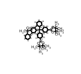 CC1(C)c2ccccc2-c2cc3c(cc21)-c1ccccc1C3(c1ccc(B2OC(C)(C)C(C)(C)O2)cc1)c1ccc(B2OC(C)(C)C(C)(C)O2)cc1